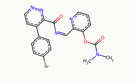 CN(C)C(=O)Oc1cccnc1/C=N\C(=O)c1nnccc1-c1ccc(Br)cc1